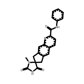 CN1C(=O)NC(=O)C12Cc1cc3ccc(C(=O)Nc4ccccc4)nc3cc1C2